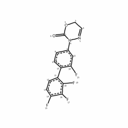 O=C1OCC=NN1c1ccc(-c2ccc(F)c(F)c2F)c(F)c1